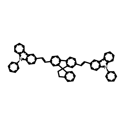 C(=C\c1ccc2c(c1)c1ccccc1n2-c1ccccc1)/c1ccc2c(c1)C1(CCc3ccccc31)c1cc(/C=C/c3ccc4c(c3)c3ccccc3n4-c3ccccc3)ccc1-2